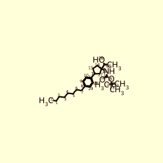 CCCCCCCCc1ccc(C2CCC(NC(=O)OC(C)(C)C)(C(C)O)C2)cc1